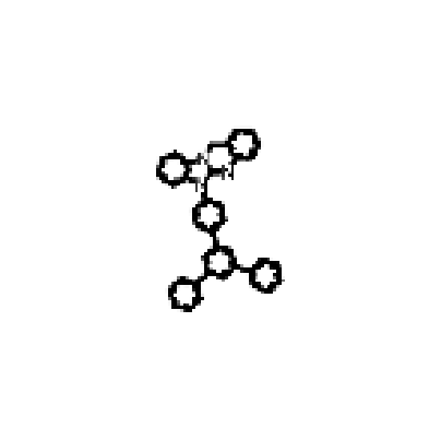 c1ccc(-c2cc(-c3ccccc3)cc(-c3ccc(N4C5=Nc6ccccc6CN5c5ccccc54)cc3)c2)cc1